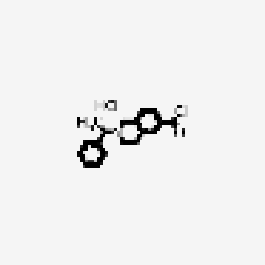 CC(c1ccccc1)N1CCc2cc(C(=O)Cl)ccc2C1.Cl